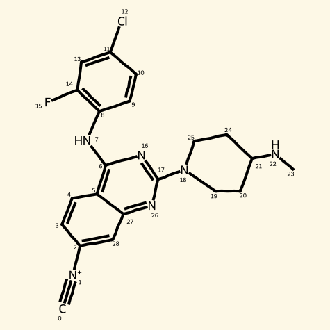 [C-]#[N+]c1ccc2c(Nc3ccc(Cl)cc3F)nc(N3CCC(NC)CC3)nc2c1